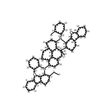 CCc1ccc2c(oc3ccccc32)c1N(c1ccccc1C)c1ccc2ccc3c(N(c4ccccc4C)c4c(CC)ccc5c4oc4ccccc45)ccc4ccc1c2c43